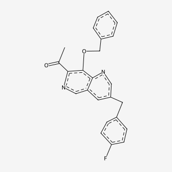 CC(=O)c1ncc2cc(Cc3ccc(F)cc3)cnc2c1OCc1ccccc1